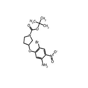 CC(C)(C)OC(=O)N1CCC(Oc2cc(N)c([N+](=O)[O-])cc2Br)C1